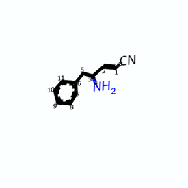 N#CC=CC(N)Cc1ccccc1